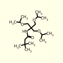 CC(C)OCC(COC(C)C)(COC(C)C)NC(=O)CC(C)(C)C